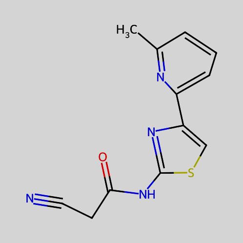 Cc1cccc(-c2csc(NC(=O)CC#N)n2)n1